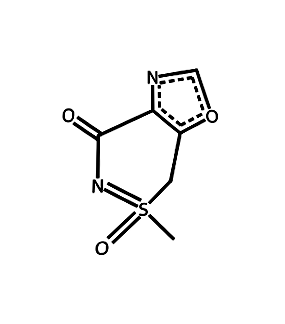 CS1(=O)=NC(=O)c2ncoc2C1